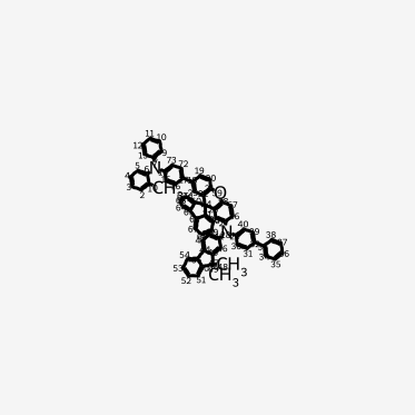 Cc1ccccc1N(c1ccccc1)c1ccc(-c2ccc3c(c2)C2(c4cc(N(c5ccc(-c6ccccc6)cc5)c5ccc6c(c5)C(C)(C)c5ccccc5-6)ccc4O3)c3ccccc3-c3ccccc32)cc1